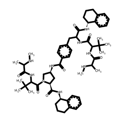 CNC(C)C(=O)NC(C(=O)NC(Cc1ccc(C(=O)N[C@H]2C[C@@H](C(=O)N[C@@H]3CCCc4ccccc43)N(C(=O)C(NC(=O)C(C)NC)C(C)(C)C)C2)cc1)C(=O)N[C@@H]1CCCc2ccccc21)C(C)(C)C